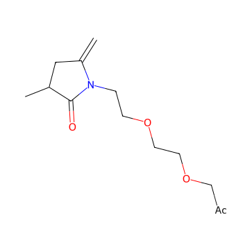 C=C1CC(C)C(=O)N1CCOCCOCC(C)=O